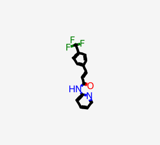 O=C(/C=C/c1ccc(C(F)(F)F)cc1)Nc1ccccn1